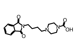 O=C(O)N1CCN(CCCCN2C(=O)c3ccccc3C2=O)CC1